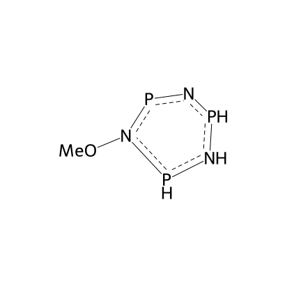 COn1pn[pH][nH][pH]1